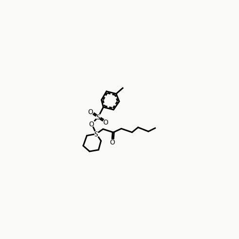 CCCCCC(=O)CS1(OS(=O)(=O)c2ccc(C)cc2)CCCCC1